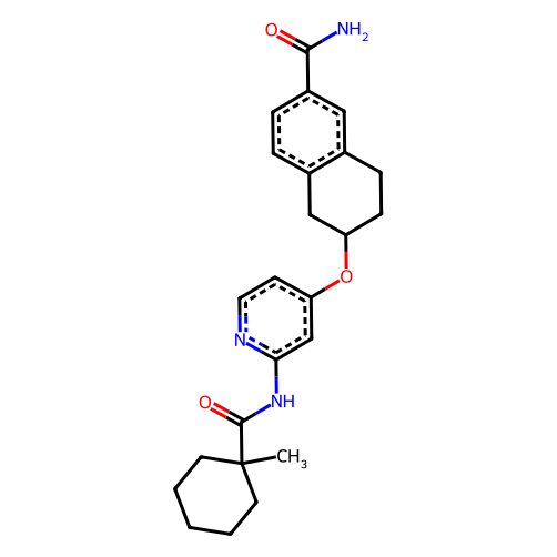 CC1(C(=O)Nc2cc(OC3CCc4cc(C(N)=O)ccc4C3)ccn2)CCCCC1